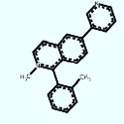 Cc1ccccc1-c1c2ccc(-c3cccnc3)cc2cc[n+]1C